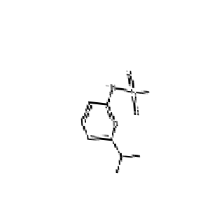 CC(C)c1cccc(NS(C)(=O)=O)n1